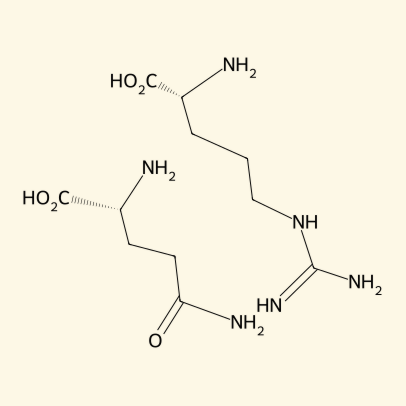 N=C(N)NCCC[C@@H](N)C(=O)O.NC(=O)CC[C@@H](N)C(=O)O